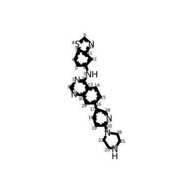 c1nc(Nc2ccc3scnc3c2)c2ccc(-c3ccc(N4CCNCC4)nc3)cc2n1